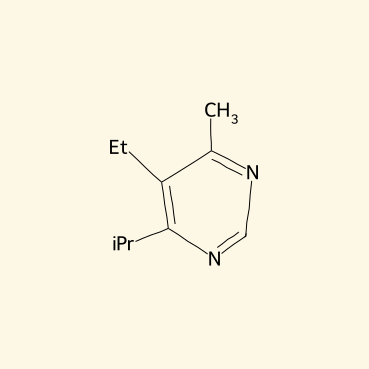 CCc1c(C)ncnc1C(C)C